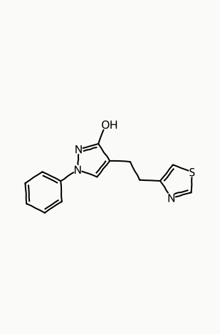 Oc1nn(-c2ccccc2)cc1CCc1cscn1